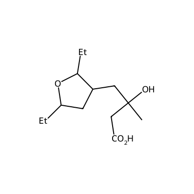 CCC1CC(CC(C)(O)CC(=O)O)C(CC)O1